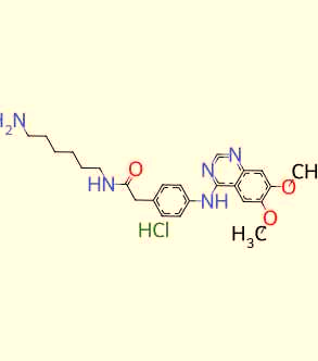 COc1cc2ncnc(Nc3ccc(CC(=O)NCCCCCCN)cc3)c2cc1OC.Cl